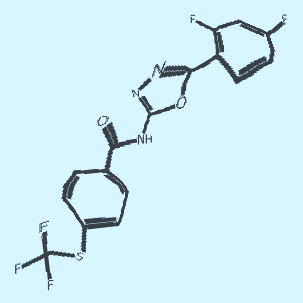 O=C(Nc1nnc(-c2ccc(F)cc2F)o1)c1ccc(SC(F)(F)F)cc1